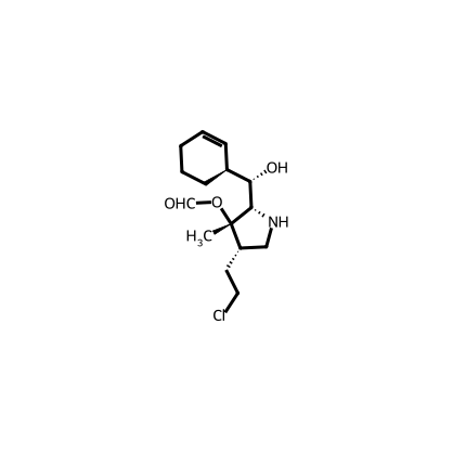 C[C@]1(OC=O)[C@@H](CCCl)CN[C@H]1[C@@H](O)[C@@H]1C=CCCC1